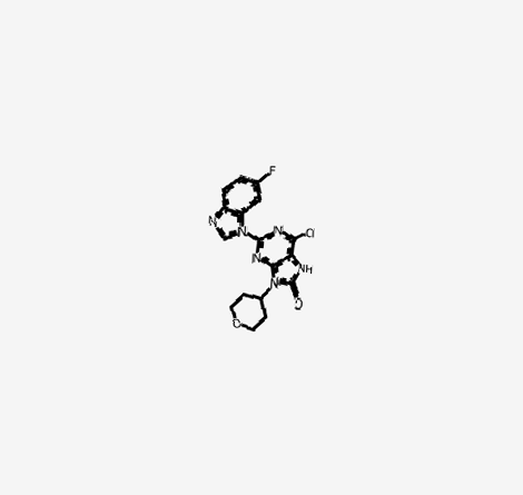 O=c1[nH]c2c(Cl)nc(-n3cnc4ccc(F)cc43)nc2n1C1CCOCC1